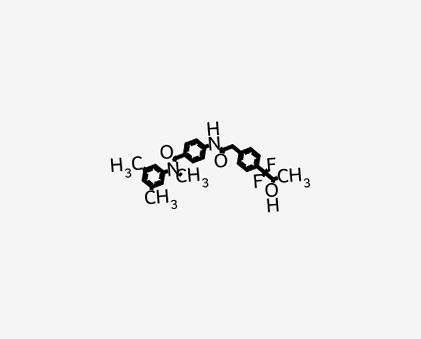 Cc1cc(C)cc(N(C)C(=O)c2ccc(NC(=O)Cc3ccc(C(F)(F)C(C)O)cc3)cc2)c1